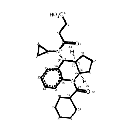 O=C(O)CCC(=O)N(C1CC1)[C@H]1c2ccccc2N(C(=O)C2CCCCC2)[C@@H]2CCC[C@@H]21